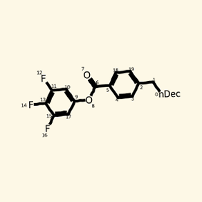 CCCCCCCCCCCc1ccc(C(=O)Oc2cc(F)c(F)c(F)c2)cc1